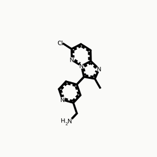 Cc1nc2ccc(Cl)nn2c1-c1ccnc(CN)c1